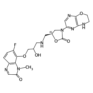 Cn1c(=O)cnc2ccc(F)c(OCC(O)CNC[C@H]3CN(c4cnc5c(n4)NCCO5)C(=O)O3)c21